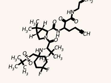 C#CCCC(NC(=O)[C@@H]1[C@@H]2[C@H](CN1C(=O)[C@@H](NC1(CS(=O)(=O)C(C)(C)C)CCC(F)(F)CC1)C(C)(C)C)C2(C)C)C(=O)C(=O)NCC=C